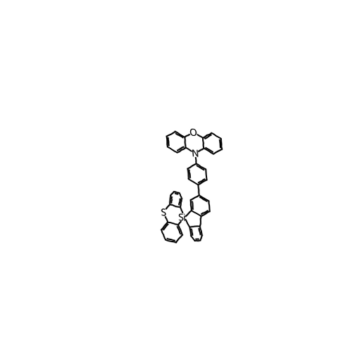 c1ccc2c(c1)Oc1ccccc1N2c1ccc(-c2ccc3c(c2)[Si]2(c4ccccc4Sc4ccccc42)c2ccccc2-3)cc1